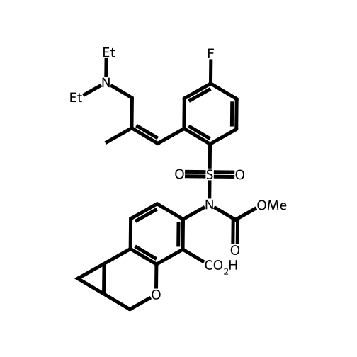 CCN(CC)CC(C)=Cc1cc(F)ccc1S(=O)(=O)N(C(=O)OC)c1ccc2c(c1C(=O)O)OCC1CC21